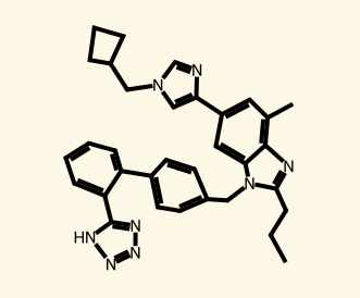 CCCc1nc2c(C)cc(-c3cn(CC4CCC4)cn3)cc2n1Cc1ccc(-c2ccccc2-c2nnn[nH]2)cc1